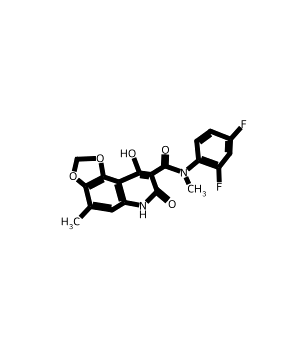 Cc1cc2[nH]c(=O)c(C(=O)N(C)c3ccc(F)cc3F)c(O)c2c2c1OCO2